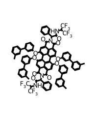 Cc1cccc(-c2cccc(Oc3cc4c5c(cc(Oc6cccc(-c7cccc(C)c7)c6)c6c7c(Oc8cccc(-c9cccc(C)c9)c8)cc8c9c(cc(Oc%10cccc(-c%11cccc(C)c%11)c%10)c(c3c56)c97)C(=O)N(C(C(=O)NC(C(F)(F)F)C(F)(F)F)c3ccccc3)C8=O)C(=O)N(C(C(=O)NC(C(F)(F)F)C(F)(F)F)c3ccccc3)C4=O)c2)c1